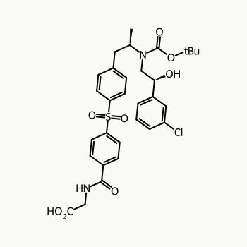 C[C@H](Cc1ccc(S(=O)(=O)c2ccc(C(=O)NCC(=O)O)cc2)cc1)N(C[C@@H](O)c1cccc(Cl)c1)C(=O)OC(C)(C)C